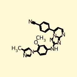 COc1cc(Nc2nc3nccc(-c4ccc(C#N)cc4)n3n2)ccc1-n1cnc(C)c1